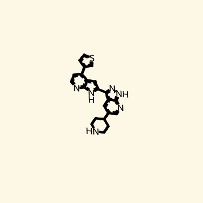 c1cc(-c2ccsc2)c2cc(-c3n[nH]c4ncc(C5CCNCC5)cc34)[nH]c2n1